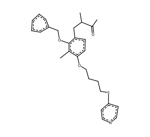 CC(=O)C(C)Cc1ccc(OCCCCSc2ccncc2)c(C)c1OCc1ccccc1